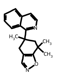 CC1(C)CC(C)(c2nccc3ccccc23)Cc2cnoc21